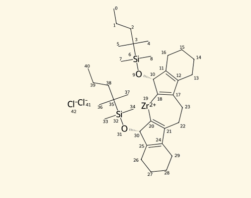 CCCC(C)(C)[Si](C)(C)O[C@@H]1C2=C(CCCC2)C2=[C]1[Zr+2][C]1=C(CC2)C2=C(CCCC2)[C@@H]1O[Si](C)(C)C(C)(C)CCC.[Cl-].[Cl-]